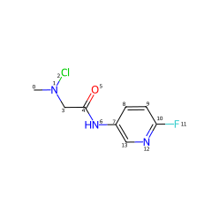 CN(Cl)CC(=O)Nc1ccc(F)nc1